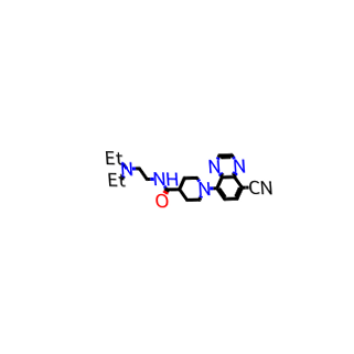 CCN(CC)CCNC(=O)C1CCN(c2ccc(C#N)c3nccnc23)CC1